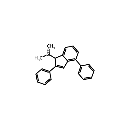 C[SiH](C)C1C(c2ccccc2)=Cc2c(-c3ccccc3)cccc21